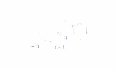 Fc1ccccc1-n1nnc(-c2ccccn2)n1